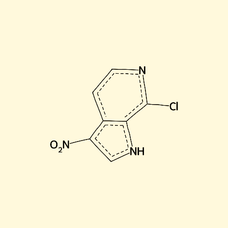 O=[N+]([O-])c1c[nH]c2c(Cl)nccc12